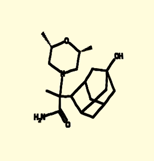 C[C@@H]1CN(C(C)(C(N)=O)C2C3CC4CC2CC(O)(C4)C3)C[C@H](C)O1